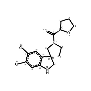 O=C([C@H]1CCCO1)N1CC[C@@]2(CNc3cc(Cl)c(Cl)cc32)C1